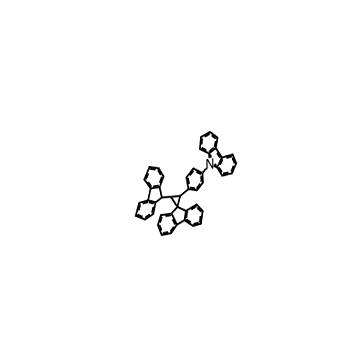 c1ccc2c(c1)-c1ccccc1C2C1C(c2ccc(-n3c4ccccc4c4ccccc43)cc2)C12c1ccccc1-c1ccccc12